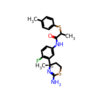 Cc1ccc(SC(C)C(=O)Nc2ccc(F)c([C@]3(C)CCSC(N)=N3)c2)cc1